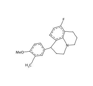 COc1ccc(C2CCN3CCCc4c(F)[c]cc2c43)cc1C